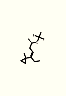 CC/C(=C/C[C@@H](C)OC(C)(F)F)C1(C)CC1